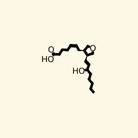 CCCCCC(O)/C=C/[C@@H]1COC[C@@H]1C/C=C\CCCC(=O)O